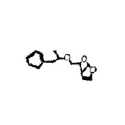 CC(Cc1ccccc1)OCC1OC2OC=CC12